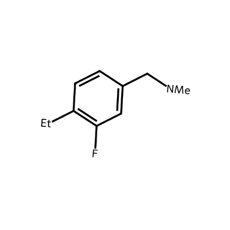 CCc1ccc(CNC)cc1F